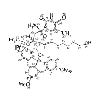 COc1ccc(C(OC[C@@]2(C=CCCCCCO)O[C@@]([SiH3])(n3cc(C)c(=O)[nH]c3=O)C[C@@H]2OC(C)(C)C(C)C)(c2ccccc2)c2ccc(OC)cc2)cc1